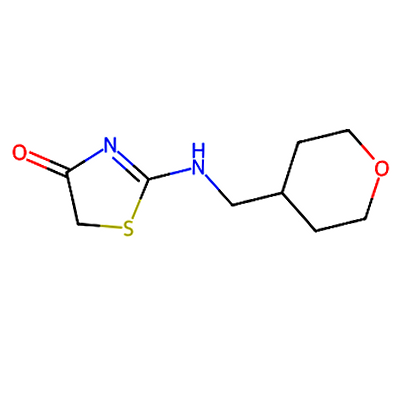 O=C1CSC(NCC2CCOCC2)=N1